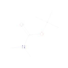 [CH2]N(C)C(=O)OC(C)(C)C